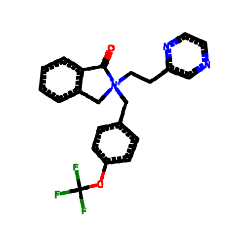 O=C1c2ccccc2C[N+]1(CCc1cnccn1)Cc1ccc(OC(F)(F)F)cc1